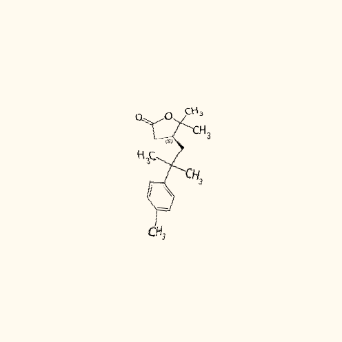 Cc1ccc(C(C)(C)C[C@H]2CC(=O)OC2(C)C)cc1